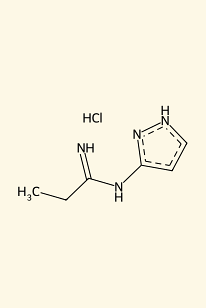 CCC(=N)Nc1cc[nH]n1.Cl